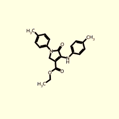 CCOC(=O)C1=C(Nc2ccc(C)cc2)C(=O)N(c2ccc(C)cc2)C1